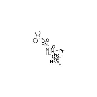 CC(C)C[C@H](NC(=O)[C@@H](N)CNC(=O)OCC1c2ccccc2-c2ccccc21)B1O[C@@H]2C[C@@H]3C[C@@H](C3(C)C)[C@]2(C)O1